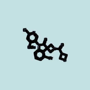 COc1cc(Cl)ncc1NC(=O)C1(c2ccccc2C(C)C)CN(C(=O)C2COC2)C1